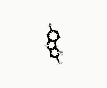 CC(C)c1ccc2c(c1)sc1cc(C(C)C)[nH]c12